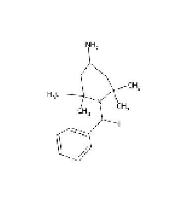 CC1(C)CC(N)CC(C)(C)N1C(I)c1ccccc1